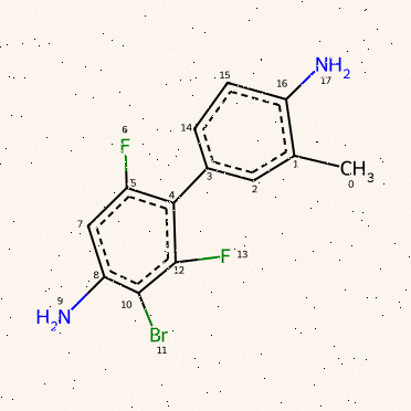 Cc1cc(-c2c(F)cc(N)c(Br)c2F)ccc1N